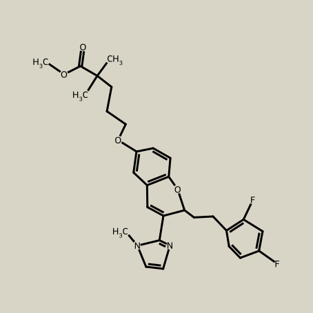 COC(=O)C(C)(C)CCCOc1ccc2c(c1)C=C(c1nccn1C)C(CCc1ccc(F)cc1F)O2